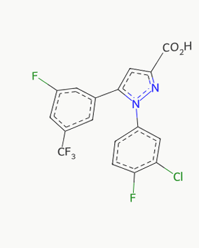 O=C(O)c1cc(-c2cc(F)cc(C(F)(F)F)c2)n(-c2ccc(F)c(Cl)c2)n1